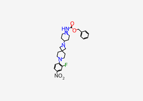 O=C(NN1CCC(N2CC3(CCN(c4ccc([N+](=O)[O-])cc4F)CC3)C2)CC1)OCc1ccccc1